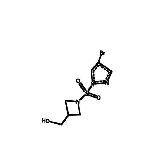 O=S(=O)(N1CC(CO)C1)n1cc(Br)cn1